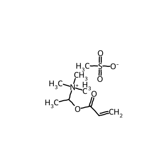 C=CC(=O)OC(C)[N+](C)(C)C.CS(=O)(=O)[O-]